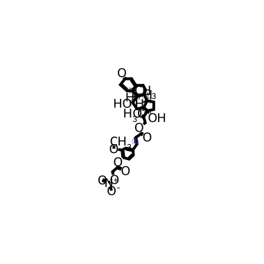 COc1cc(/C=C/C(=O)OCC(=O)[C@@]2(O)CC[C@H]3[C@@H]4CCC5=CC(=O)C=C[C@]5(C)[C@H]4[C@@H](O)C[C@@]32C)ccc1OC(=O)CO[N+](=O)[O-]